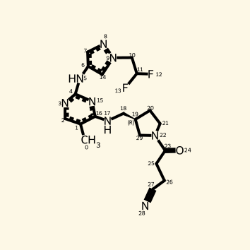 Cc1cnc(Nc2cnn(CC(F)F)c2)nc1NC[C@H]1CCN(C(=O)CCC#N)C1